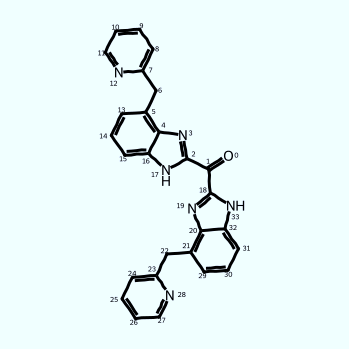 O=C(c1nc2c(Cc3ccccn3)cccc2[nH]1)c1nc2c(Cc3ccccn3)cccc2[nH]1